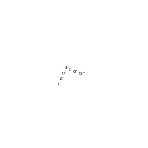 [B+3].[Ca+2].[Cl-].[Cl-].[Cl-].[Cl-].[Cl-]